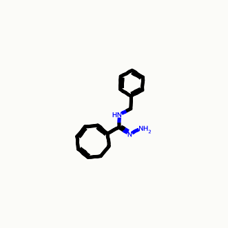 N/N=C(NCc1ccccc1)/C1=C/C=C\C=C/CC1